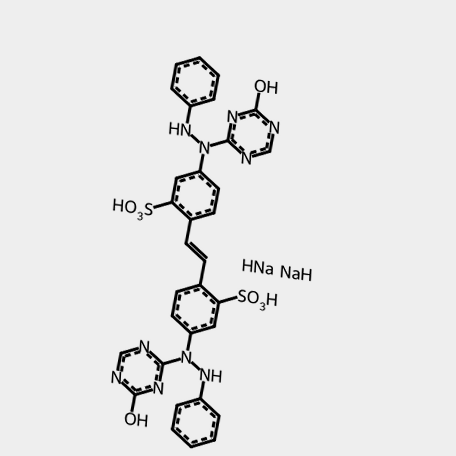 O=S(=O)(O)c1cc(N(Nc2ccccc2)c2ncnc(O)n2)ccc1C=Cc1ccc(N(Nc2ccccc2)c2ncnc(O)n2)cc1S(=O)(=O)O.[NaH].[NaH]